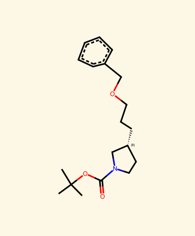 CC(C)(C)OC(=O)N1CC[C@@H](CCCOCc2ccccc2)C1